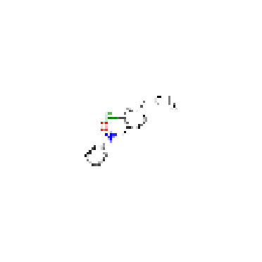 CCc1ccc(C=[N+]([O-])c2ccccc2)c(F)c1